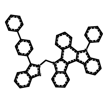 c1ccc(-c2ccc(-c3c4ccccc4nn3Cn3c4ccccc4c4c5c6ccccc6n(-c6ccccc6)c5c5ccccc5c43)cc2)cc1